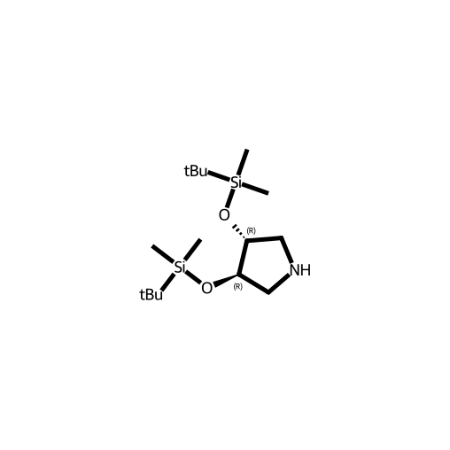 CC(C)(C)[Si](C)(C)O[C@@H]1CNC[C@H]1O[Si](C)(C)C(C)(C)C